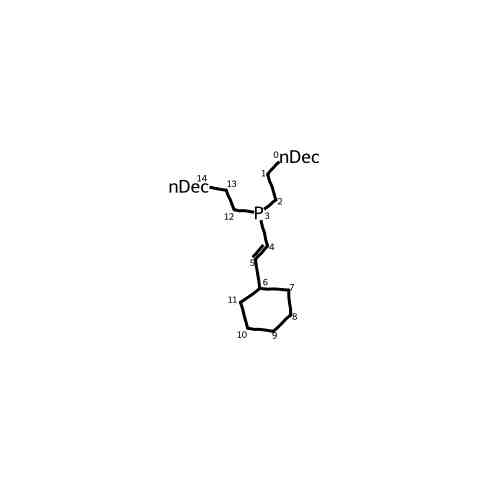 CCCCCCCCCCCCP(C=CC1CCCCC1)CCCCCCCCCCCC